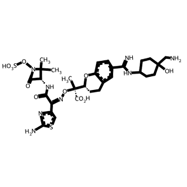 CC1(C)[C@H](NC(=O)/C(=N\O[C@](C)(C(=O)O)[C@H]2CCc3cc(C(=N)NC4CCC(O)(CN)CC4)ccc3O2)c2csc(N)n2)C(=O)N1OS(=O)(=O)O